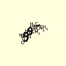 CCC(C)(C)NC(=O)[C@H]1CC[C@H]2[C@@H]3CC[C@H]4OC(=O)C=C[C@]4(C)[C@H]3CC[C@]12C